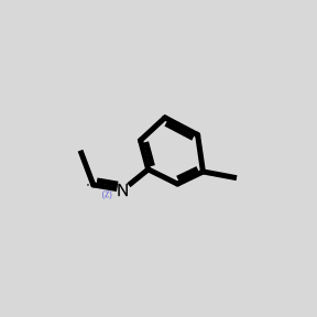 C/[C]=N\c1cccc(C)c1